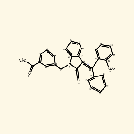 COC(=O)c1cccc(CN2C(=O)/C(=C(\c3ccccc3)c3ccccc3SC)c3ccccc32)c1